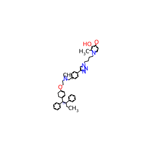 CC/C(=C(/C1=CC=C(OCCN(C)Cc2ccc(-c3cn(CCCCn4ccc(=O)c(O)c4C)nn3)cc2)CC1)c1ccccc1)c1ccccc1